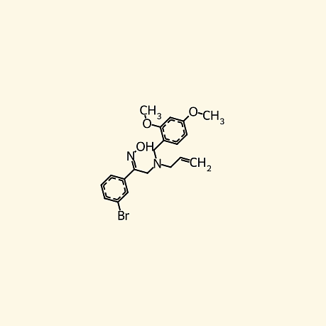 C=CCN(CC(=NO)c1cccc(Br)c1)Cc1ccc(OC)cc1OC